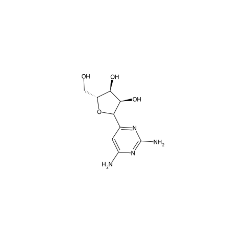 Nc1cc(C2O[C@H](CO)[C@@H](O)[C@H]2O)nc(N)n1